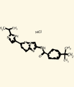 CC(C)c1ncc(-c2ccc3nc(NC(=O)c4ccc(C(C)(C)C)cc4)cn3n2)[nH]1.Cl